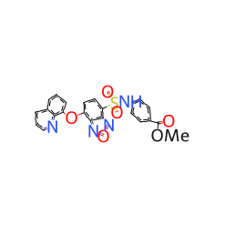 COC(=O)c1ccc(NS(=O)(=O)c2ccc(Oc3cccc4cccnc34)c3nonc23)cc1